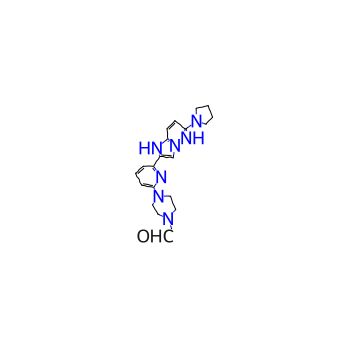 N=C(/C=C\c1ncc(-c2cccc(N3CCN(CC=O)CC3)n2)[nH]1)N1CCCC1